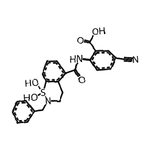 N#Cc1ccc(NC(=O)c2cccc3c2CCN(Cc2ccccc2)S3(O)O)c(C(=O)O)c1